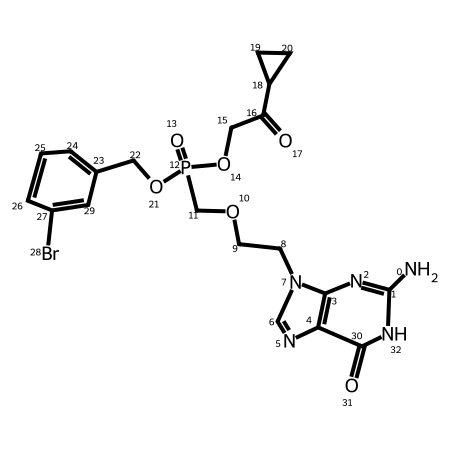 Nc1nc2c(ncn2CCOCP(=O)(OCC(=O)C2CC2)OCc2cccc(Br)c2)c(=O)[nH]1